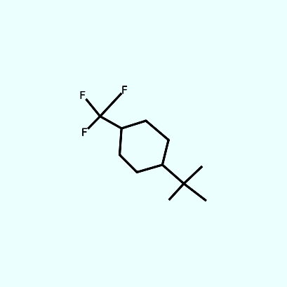 CC(C)(C)C1CCC(C(F)(F)F)CC1